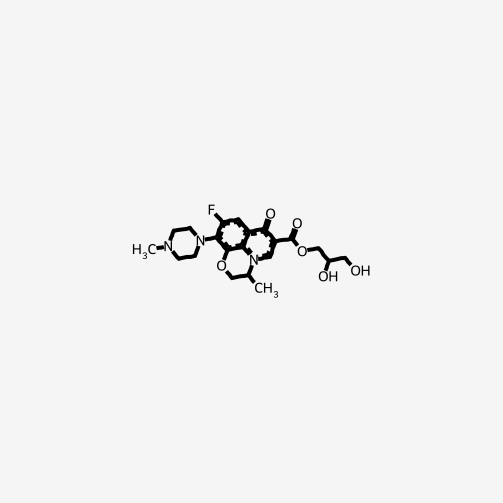 CC1COc2c(N3CCN(C)CC3)c(F)cc3c(=O)c(C(=O)OCC(O)CO)cn1c23